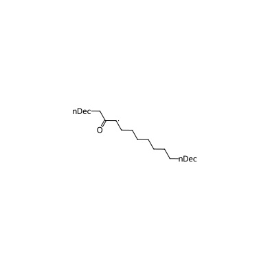 CCCCCCCCCCCCCCCCC[CH]C(=O)CCCCCCCCCCC